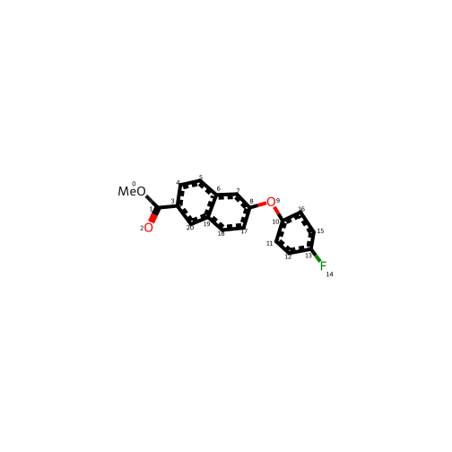 COC(=O)c1ccc2cc(Oc3ccc(F)cc3)ccc2c1